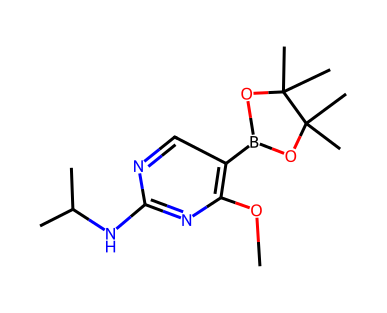 COc1nc(NC(C)C)ncc1B1OC(C)(C)C(C)(C)O1